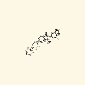 Cc1cc(-c2[nH]c3ccc(C4CCC(N5CCOCC5)CC4)nc3c2C(C)C)cn2ncnc12